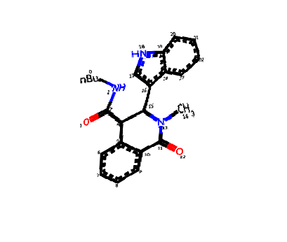 CCCCNC(=O)C1c2ccccc2C(=O)N(C)C1c1c[nH]c2ccccc12